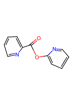 O=C(Oc1ccccn1)c1ccccn1